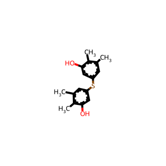 Cc1cc(Sc2cc(C)c(C)c(O)c2)cc(O)c1C